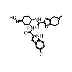 CN1CCc2nc(C(=O)N[C@@H]3CCC(=NO)C[C@@H]3NC(=O)c3cc4cc(Cl)ccc4[nH]3)sc2C1